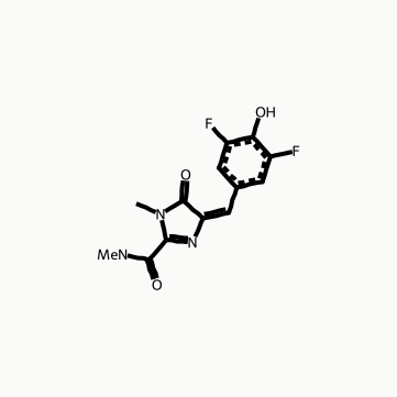 CNC(=O)C1=N/C(=C/c2cc(F)c(O)c(F)c2)C(=O)N1C